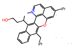 CC(C)Cc1c2c(c(C(C)CCO)c3ccccc13)-c1c3c(cc(C(C)C)cc3cc[n+]1C)O2